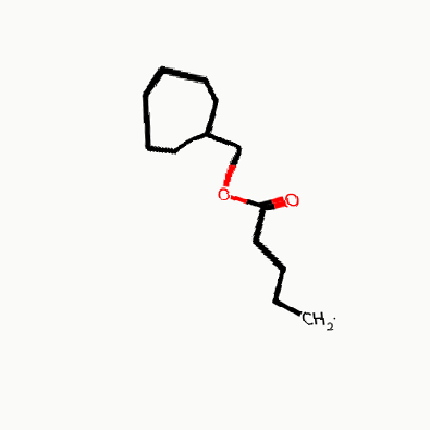 [CH2]CCCC(=O)OCC1CCCCCC1